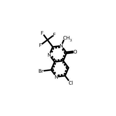 Cn1c(C(F)(F)F)nc2c(Br)nc(Cl)cc2c1=O